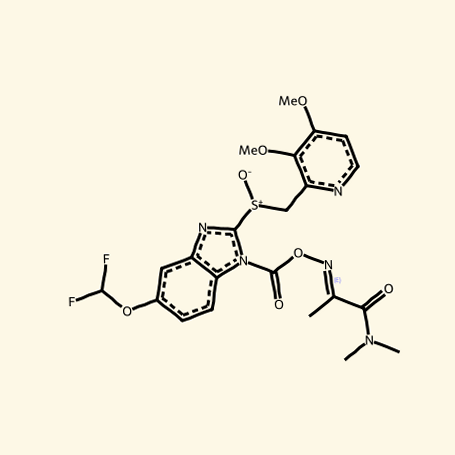 COc1ccnc(C[S+]([O-])c2nc3cc(OC(F)F)ccc3n2C(=O)O/N=C(\C)C(=O)N(C)C)c1OC